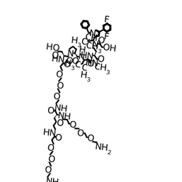 CNC(=O)[C@H](CCN(C(=O)CO)[C@@H](c1cc(-c2cc(F)ccc2F)cn1Cc1ccccc1)C(C)(C)C)NC(=O)[C@@H](NC(=O)[C@@H]1CCCN1C(=O)[C@H](CC(=O)O)NC(=O)CCOCCOCCOCCNC(=O)[C@H](CCCCNC(=O)CCOCCOCCOCCN)NC(=O)CCOCCOCCOCCN)C(C)C